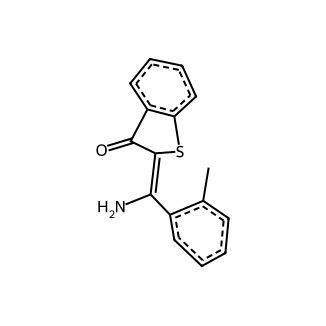 Cc1ccccc1/C(N)=C1\Sc2ccccc2C1=O